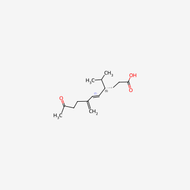 C=C(/C=C/[C@@H](CCC(=O)O)C(C)C)CCC(C)=O